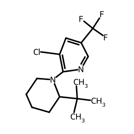 CC(C)(C)C1CCCCN1c1ncc(C(F)(F)F)cc1Cl